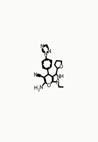 CCN1NC(C2CCCO2)C2=C1OC(N)=C(C#N)C2c1ccc(-n2cncn2)cc1